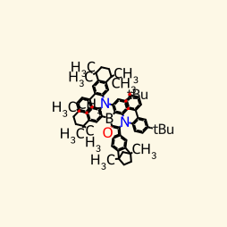 CC(C)(C)c1ccc(N2c3cc(C(C)(C)C)cc4c3B(c3cc5c(cc3N4c3cc4c(cc3-c3ccccc3)C(C)(C)CCC4(C)C)C(C)(C)CCC5(C)C)c3oc4cc5c(cc4c32)C2(C)CCC5(C)C2)c(-c2ccccc2)c1